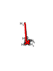 CCC=CCC=CCC=CCC=CCC=CCC=CCCC(=O)NCCNC(=O)C1=C[C@@H](OC(CC)CC)[C@H](NC(C)=O)[C@@H](NC(=O)O)C1